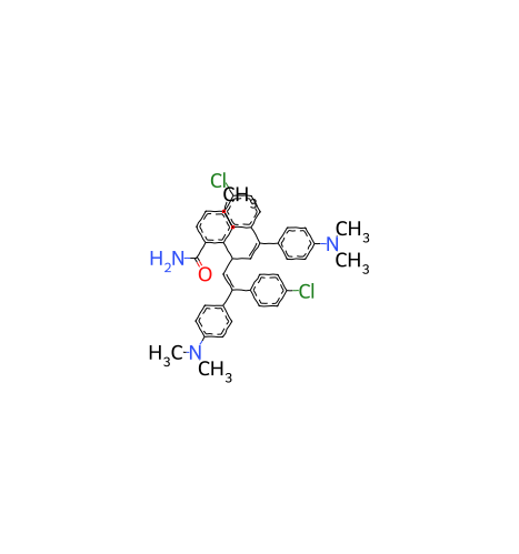 Cc1ccc(C(N)=O)c(C(C=C(c2ccc(Cl)cc2)c2ccc(N(C)C)cc2)C=C(c2ccc(Cl)cc2)c2ccc(N(C)C)cc2)c1